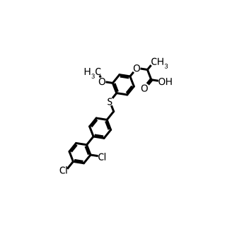 COc1cc(OC(C)C(=O)O)ccc1SCc1ccc(-c2ccc(Cl)cc2Cl)cc1